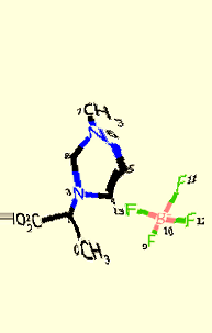 CC(C(=O)O)N1C=CN(C)C1.F[B-](F)(F)F